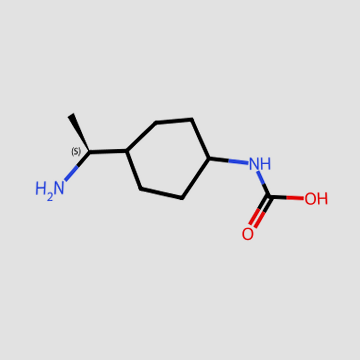 C[C@H](N)C1CCC(NC(=O)O)CC1